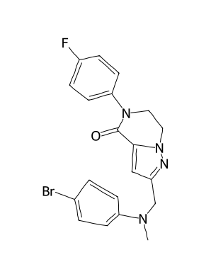 CN(Cc1cc2n(n1)CCN(c1ccc(F)cc1)C2=O)c1ccc(Br)cc1